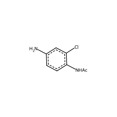 CC(=O)Nc1ccc(N)cc1Cl